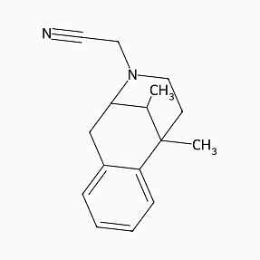 CC1C2Cc3ccccc3C1(C)CCN2CC#N